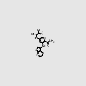 CC[C@@H](Nc1cnc(C(N)=O)c(Nc2csc3ncccc23)n1)C(N)=O